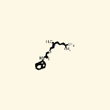 CC(C)=CCC/C(C)=C/COCC(=O)NC1C2CC3CC(C2)CC1C3